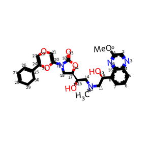 COc1cnc2cccc([C@H](O)CN(C)CC(O)[C@H]3CN(C4=COC=C(C5=CC=CCC5)O4)C(=O)O3)c2n1